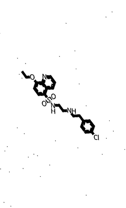 CCOc1ccc(S(=O)(=O)NCCNCCc2ccc(Cl)cc2)c2cccnc12